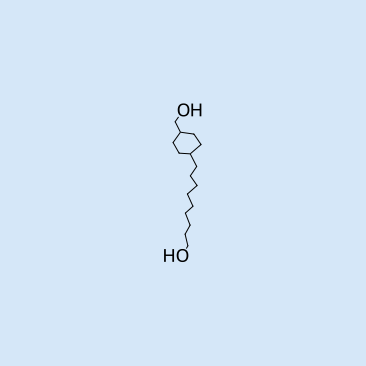 OCCCCCCCCCC1CCC(CO)CC1